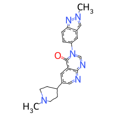 CN1CCC(c2cnc3ncn(-c4ccc5nn(C)cc5c4)c(=O)c3c2)CC1